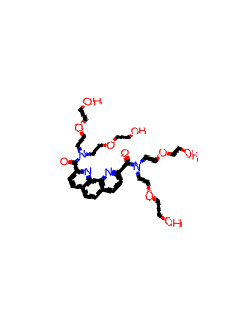 O=C(c1ccc2ccc3ccc(C(=O)N(CCOCCO)CCOCCO)nc3c2n1)N(CCOCCO)CCOCCO